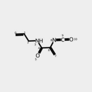 C=CCNC(=O)C(=C)N=C=O